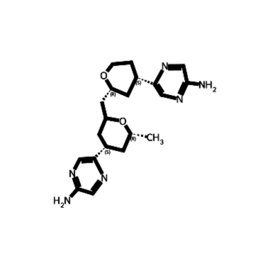 C[C@@H]1C[C@H](c2cnc(N)cn2)CC(C[C@H]2C[C@@H](c3cnc(N)cn3)CCO2)O1